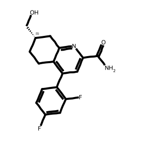 NC(=O)c1cc(-c2ccc(F)cc2F)c2c(n1)C[C@@H](CO)CC2